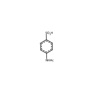 CC(=O)Nc1c[c]c(S(=O)(=O)O)cc1